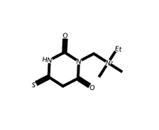 CC[N+](C)(C)CN1C(=O)CC(=S)NC1=O